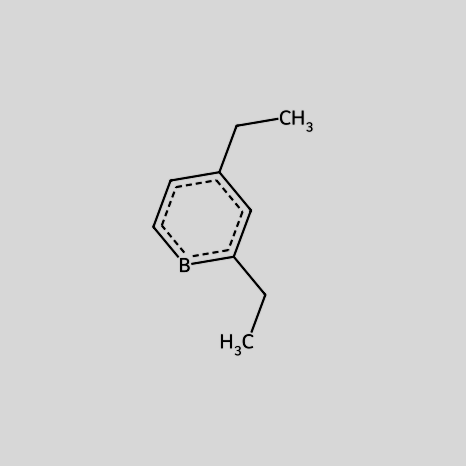 CCc1bccc(CC)c1